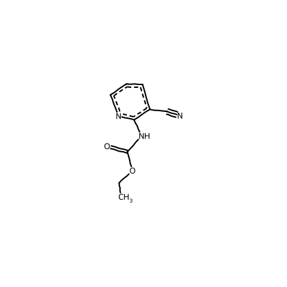 CCOC(=O)Nc1ncccc1C#N